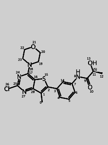 Cc1c(-c2cccc(NC(=O)[C@H](C)O)c2)sc2c(N3CCOCC3)nc(Cl)nc12